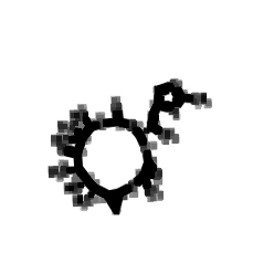 C/C(=C\c1csc(C)n1)[C@@H]1CC2OC2(C(F)(F)F)CC2CC2[C@H](C)[C@H](O)[C@@H](C)C(=O)C(C)(C)[C@@H](O)CC(=O)O1